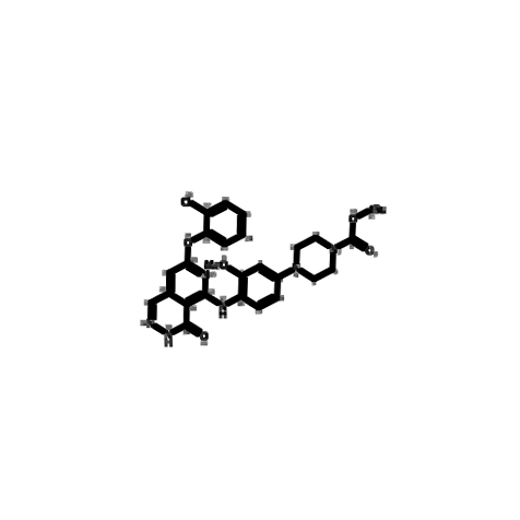 COc1cc(N2CCN(C(=O)OC(C)(C)C)CC2)ccc1Nc1nc(Oc2ccccc2Cl)cc2cn[nH]c(=O)c12